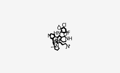 COc1c(Cl)cc(F)cc1Nc1c(-c2ccncc2C#C[C@@]2(C)CCCN2C(=O)/C=C/CN(C)C)[nH]c2c1C(=O)NCC2